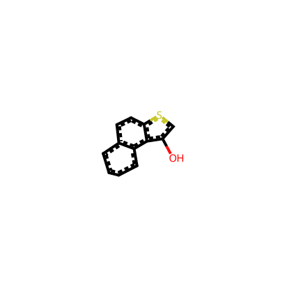 Oc1csc2ccc3ccccc3c12